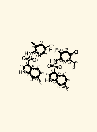 Cc1cnc(NS(=O)(=O)c2c[nH]c3cc(Cl)ccc23)c(F)c1.O=S(=O)(Nc1nc(CF)c(Cl)cc1F)c1c[nH]c2cc(Cl)ccc12